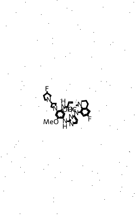 C=CC(=O)Nc1cc(Nc2nccc(N(C=O)c3cc(F)cc4c3N(C)CCC4)n2)c(OC)cc1N1CC(N2CCC(F)C2)C1